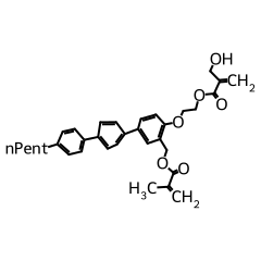 C=C(C)C(=O)OCc1cc(-c2ccc(-c3ccc(CCCCC)cc3)cc2)ccc1OCCOC(=O)C(=C)CO